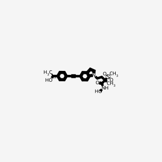 C[C@H](O)c1ccc(C#Cc2ccc3c(ccn3CCC(C)(C(=O)NO)S(C)(=O)=O)c2)cc1